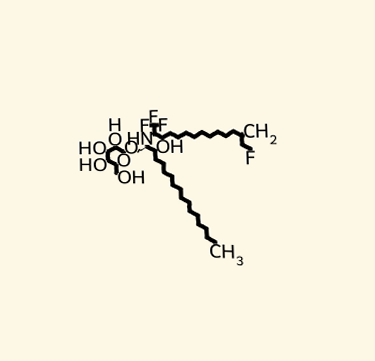 C=C(CCF)CCCCCCCCCCC(N[C@@H](COC1OC(CO)C(O)C(O)C1O)[C@H](O)CCCCCCCCCCCCCCC)C(F)(F)F